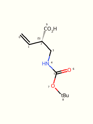 C=C[C@@H](CNC(=O)OC(C)(C)C)C(=O)O